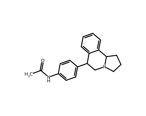 CC(=O)Nc1ccc(C2CN3CCCC3c3ccccc32)cc1